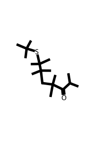 CC(C)C(=O)C(C)(C)CC(C)(C)C(C)(C)SC(C)(C)C